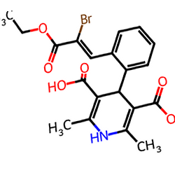 CCOC(=O)C(Br)=Cc1ccccc1C1C(C(=O)O)=C(C)NC(C)=C1C(=O)O